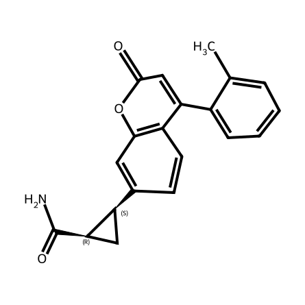 Cc1ccccc1-c1cc(=O)oc2cc([C@H]3C[C@H]3C(N)=O)ccc12